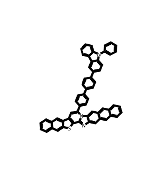 c1ccc(-n2c3ccccc3c3cc(-c4ccc(-c5ccc(-c6cc7c8cc9ccccc9cc8sc7c7nc8cc9cc%10ccccc%10cc9cc8n67)cc5)cc4)ccc32)cc1